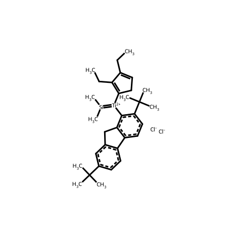 CCC1=CC[C]([Ti+2]([c]2c(C(C)(C)C)ccc3c2Cc2cc(C(C)(C)C)ccc2-3)=[Si](C)C)=C1CC.[Cl-].[Cl-]